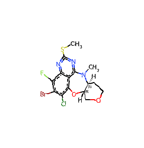 CSc1nc2c3c(c(Cl)c(Br)c(F)c3n1)O[C@H]1COCC[C@@H]1N2C